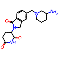 NC1CCCN(Cc2ccc3c(c2)CN(C2CCC(=O)NC2=O)C3=O)C1